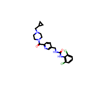 O=C(NCc1ccc(C(=O)N2CCN(CC3CC3)CC2)nc1)Nc1c(Cl)cccc1Cl